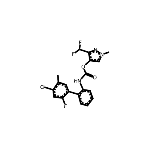 Cc1cc(-c2ccccc2NC(=O)Oc2cn(C)nc2C(F)F)c(F)cc1Cl